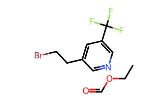 CCOC=O.FC(F)(F)c1cncc(CCBr)c1